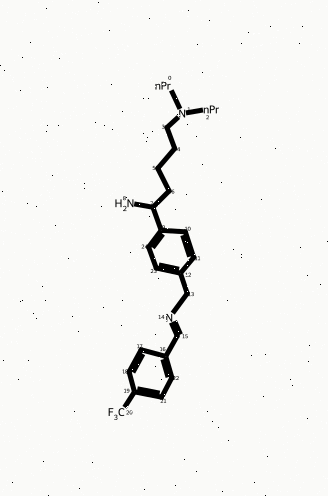 CCCN(CCC)CCCCC(N)c1ccc(CN=Cc2ccc(C(F)(F)F)cc2)cc1